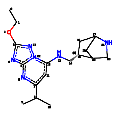 CCOc1nc2nc(C(C)C)cc(NC[C@@H]3CC4CC3CN4)n2n1